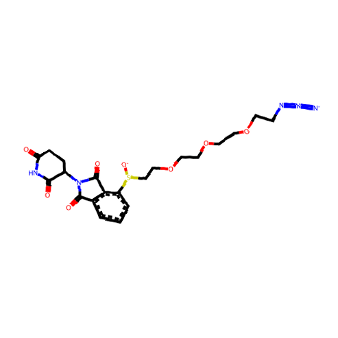 [N-]=[N+]=NCCOCCOCCOCC[S+]([O-])c1cccc2c1C(=O)N(C1CCC(=O)NC1=O)C2=O